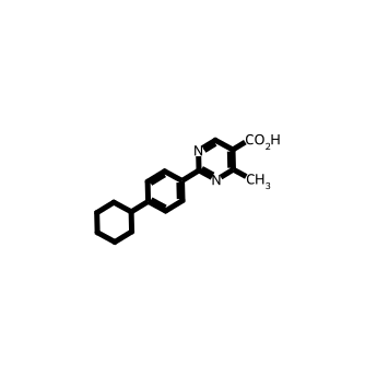 Cc1nc(-c2ccc(C3CCCCC3)cc2)ncc1C(=O)O